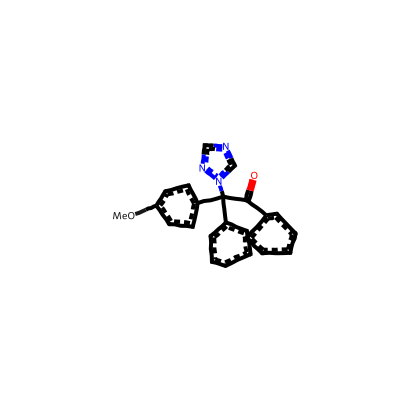 COc1ccc(C(C(=O)c2ccccc2)(c2ccccc2)n2cncn2)cc1